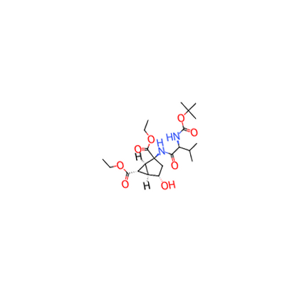 CCOC(=O)[C@H]1[C@H]2[C@@H]1[C@](NC(=O)[C@@H](NC(=O)OC(C)(C)C)C(C)C)(C(=O)OCC)C[C@@H]2O